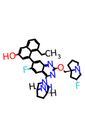 CCc1cccc2cc(O)cc(-c3cc4nc(OC[C@@]56CCCN5C[C@H](F)C6)nc(N5C[C@H]6CC[C@@H](C5)N6)c4cc3F)c12